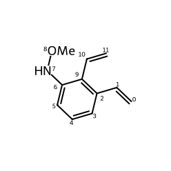 C=Cc1cccc(NOC)c1C=C